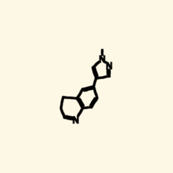 Cn1cc(-c2ccc3c(c2)CCC=N3)cn1